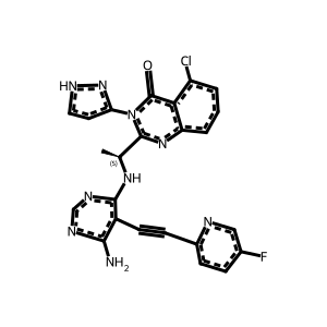 C[C@H](Nc1ncnc(N)c1C#Cc1ccc(F)cn1)c1nc2cccc(Cl)c2c(=O)n1-c1cc[nH]n1